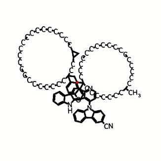 CC1CCCCCCCCCCCCCCCCCC(CCC2(c3ccc4oc5c(-n6c7ccccc7c7cc(C#N)ccc76)ccnc5c4c3)CCCCCCCCCCCCCCCCCCCCCCC3CC3CC2)(c2ccc3[nH]c4ccccc4c3c2)CCCCCCC1